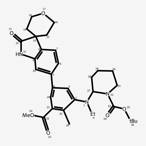 CCN(c1cc(-c2ccc3c(c2)NC(=O)C32CCOCC2)cc(C(=O)OC)c1C)C1CCCCN1C(=O)OC(C)(C)C